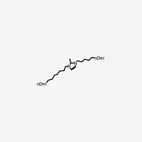 CCCCCCCCCCCCCCCCCN1C=CN(CCCCCCCCCCCCCCC)C1C